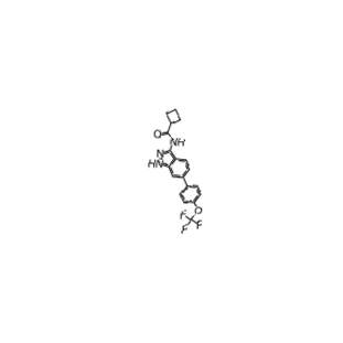 O=C(Nc1n[nH]c2cc(-c3ccc(OC(F)(F)F)cc3)ccc12)C1CCC1